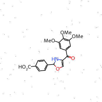 COc1cc(C(=O)C2=COC(c3ccc(C(=O)O)cc3)N2)cc(OC)c1OC